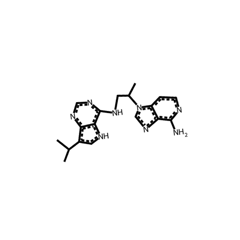 CC(C)c1c[nH]c2c(NCC(C)n3cnc4c(N)nccc43)ncnc12